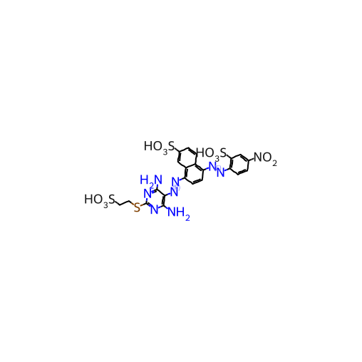 Nc1nc(SCCS(=O)(=O)O)nc(N)c1/N=N/c1ccc(/N=N/c2ccc([N+](=O)[O-])cc2S(=O)(=O)O)c2ccc(S(=O)(=O)O)cc12